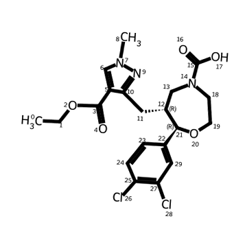 CCOC(=O)c1cn(C)nc1C[C@@H]1CN(C(=O)O)CCO[C@H]1c1ccc(Cl)c(Cl)c1